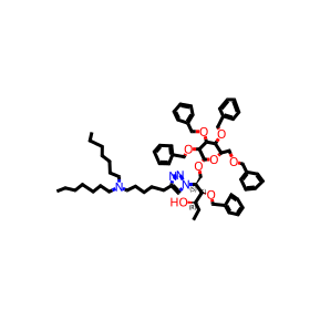 CCCCCCCN(CCCCCCC)CCCCCc1cn([C@@H](COC2OC(COCc3ccccc3)C(OCc3ccccc3)C(OCc3ccccc3)C2OCc2ccccc2)[C@H](OCc2ccccc2)[C@H](O)CC)nn1